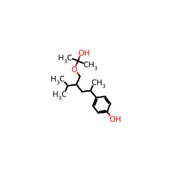 CC(CC(COC(C)(C)O)C(C)C)c1ccc(O)cc1